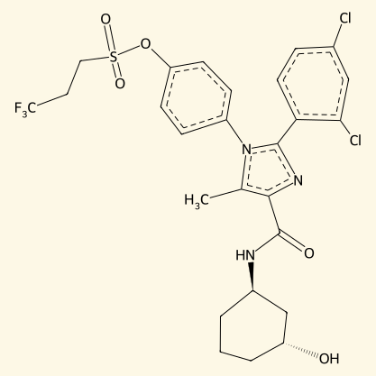 Cc1c(C(=O)N[C@@H]2CCC[C@@H](O)C2)nc(-c2ccc(Cl)cc2Cl)n1-c1ccc(OS(=O)(=O)CCC(F)(F)F)cc1